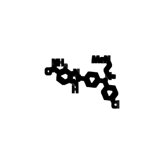 CNCCN(C)C(c1ccc(Cl)cc1)c1ccc(-c2nc3cc(C(N)=O)ccc3[nH]2)cc1